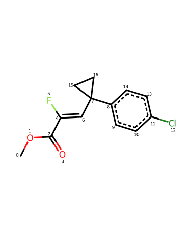 COC(=O)C(F)=CC1(c2ccc(Cl)cc2)CC1